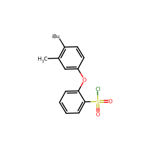 CCC(C)c1ccc(Oc2ccccc2S(=O)(=O)Cl)cc1C